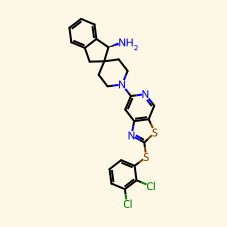 N[C@@H]1c2ccccc2CC12CCN(c1cc3nc(Sc4cccc(Cl)c4Cl)sc3cn1)CC2